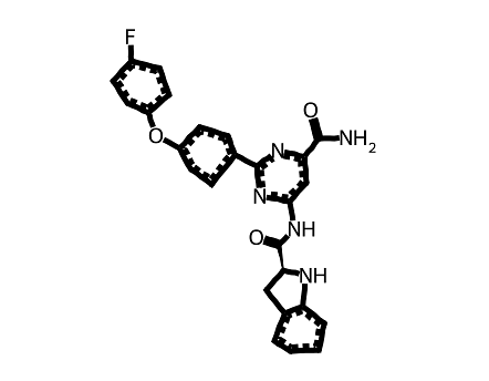 NC(=O)c1cc(NC(=O)[C@@H]2Cc3ccccc3N2)nc(-c2ccc(Oc3ccc(F)cc3)cc2)n1